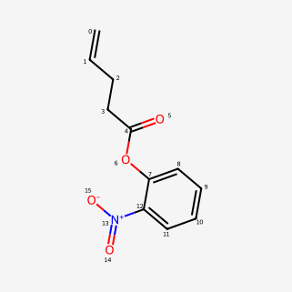 C=CCCC(=O)Oc1ccccc1[N+](=O)[O-]